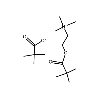 CC(C)(C)C(=O)OCC[N+](C)(C)C.CC(C)(C)C(=O)[O-]